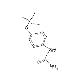 CC(C)(C)Oc1ccc(NC(N)=O)cc1